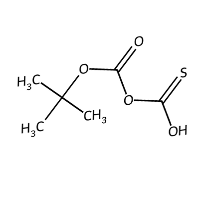 CC(C)(C)OC(=O)OC(O)=S